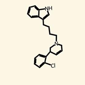 Clc1ccccc1C1C=CCN(CCCCc2c[nH]c3ccccc23)C1